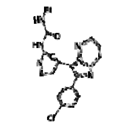 CCNC(=O)Nc1cc(-c2c(-c3ccc(Cl)cc3)nc3cccnn23)ccn1